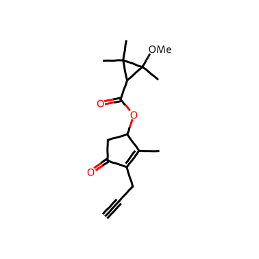 C#CCC1=C(C)C(OC(=O)C2C(C)(C)C2(C)OC)CC1=O